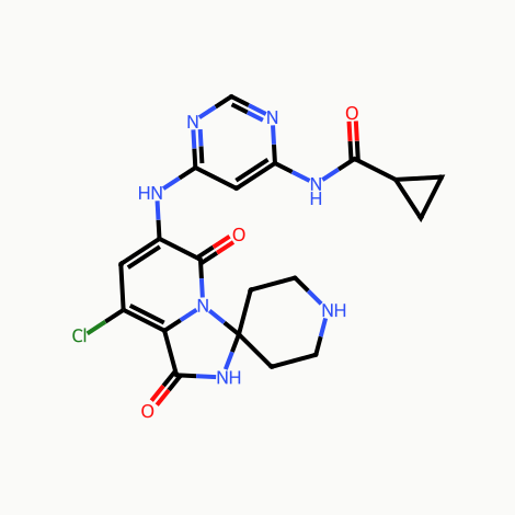 O=C1NC2(CCNCC2)n2c1c(Cl)cc(Nc1cc(NC(=O)C3CC3)ncn1)c2=O